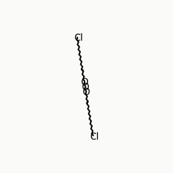 ClCCCCCCCCCCCCC=CCCCOCOCOCCCC=CCCCCCCCCCCCCCl